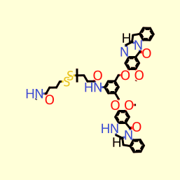 CNC(=O)CCCSSC(C)(C)CCC(=O)Nc1cc(COc2cc3c(cc2OC)C(=O)N2c4ccccc4C[C@H]2C=N3)cc(COc2cc3c(cc2OC)C(=O)N2c4ccccc4C[C@H]2CN3)c1